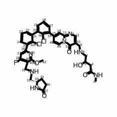 CNC(=O)CC(O)CNCc1cnc2cc(-c3cccc(-c4cccc(-c5cc(F)c(CNC[C@@H]6CCC(=O)N6)c(OC)n5)c4Cl)c3Cl)ccn2c1=O